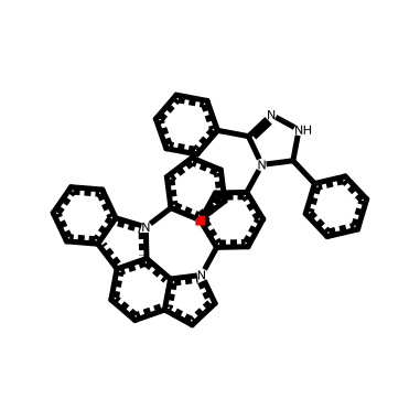 c1ccc(C2=NNC(c3ccccc3)N2c2ccc(-n3ccc4ccc5c6ccccc6n(-c6ccccc6)c5c43)cc2)cc1